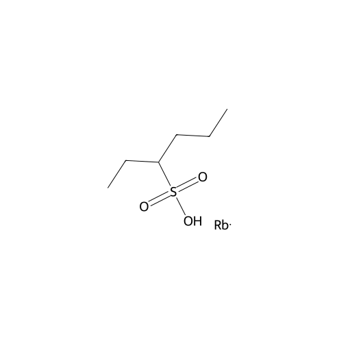 CCCC(CC)S(=O)(=O)O.[Rb]